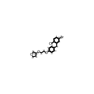 Clc1ccc(Br)cc1Cc1ccc(OCCO[C@H]2CCOC2)cc1